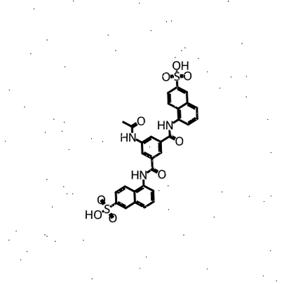 CC(=O)Nc1cc(C(=O)Nc2cccc3cc(S(=O)(=O)O)ccc23)cc(C(=O)Nc2cccc3cc(S(=O)(=O)O)ccc23)c1